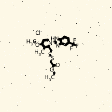 CCOC(=O)CSSCc1c(C)c(OC)cc[n+]1-c1nc2cc(C(F)(F)F)ccc2[nH]1.[Cl-]